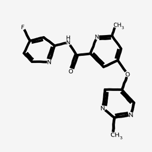 Cc1cc(Oc2cnc(C)nc2)cc(C(=O)Nc2cc(F)ccn2)n1